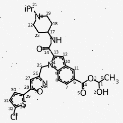 CC(O)OC(=O)c1ccc2c(c1)cc(C(=O)NC1CCN(C(C)C)CC1)n2Cc1cc(-c2ccc(Cl)s2)on1